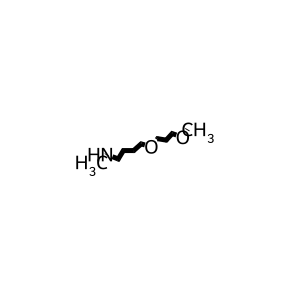 CNCCCCOCCCOC